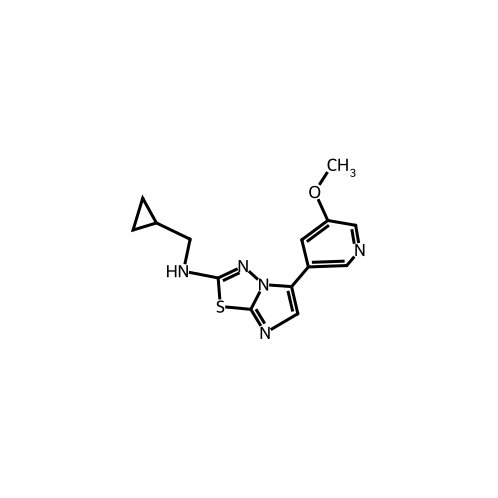 COc1cncc(-c2cnc3sc(NCC4CC4)nn23)c1